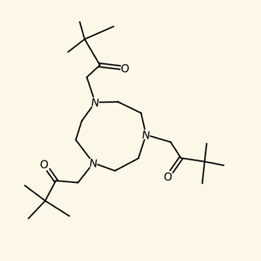 CC(C)(C)C(=O)CN1CCN(CC(=O)C(C)(C)C)CCN(CC(=O)C(C)(C)C)CC1